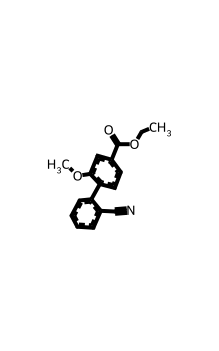 CCOC(=O)c1ccc(-c2ccccc2C#N)c(OC)c1